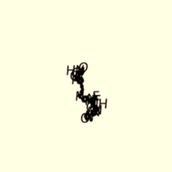 CC[C@@H]1COCCN1c1ccn2ncc(C(=O)Nc3cn([C@H]4CC[C@H](CN(C)CCCC#Cc5ccc6c(c5)n(C)c(=O)n6C5CCC(=O)NC5=O)CC4)nc3C(F)F)c2n1